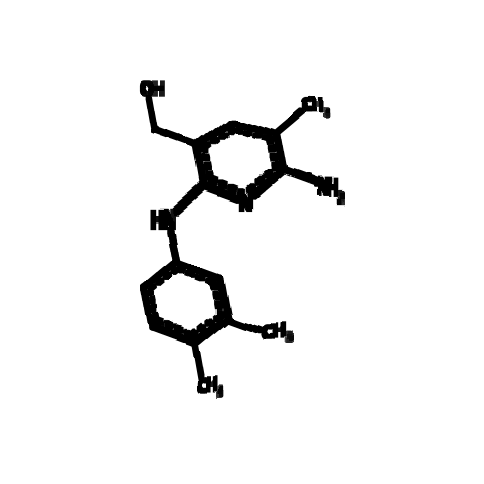 Cc1ccc(Nc2nc(N)c(C)cc2CO)cc1C